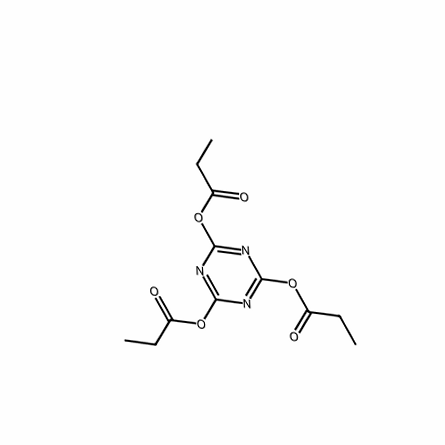 CCC(=O)Oc1nc(OC(=O)CC)nc(OC(=O)CC)n1